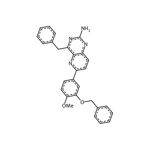 COc1ccc(-c2ccc3nc(N)nc(Cc4ccccc4)c3n2)cc1OCc1ccccc1